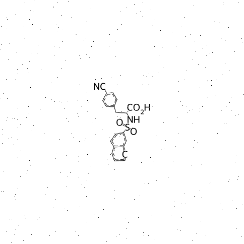 N#Cc1ccc(C[C@@H](NS(=O)(=O)c2ccc3ccccc3c2)C(=O)O)cc1